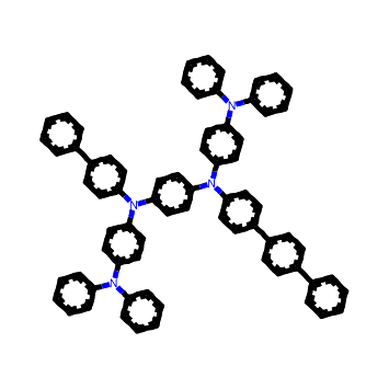 c1ccc(-c2ccc(-c3ccc(N(c4ccc(N(c5ccccc5)c5ccccc5)cc4)c4ccc(N(c5ccc(-c6ccccc6)cc5)c5ccc(N(c6ccccc6)c6ccccc6)cc5)cc4)cc3)cc2)cc1